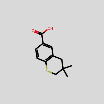 CC1(C)CSc2ccc(C(=O)O)cc2C1